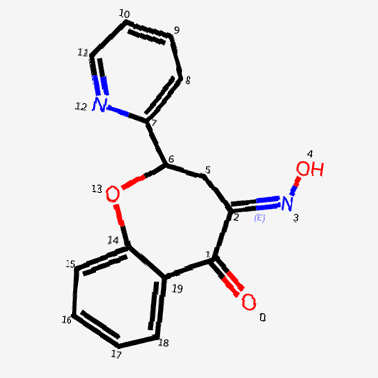 O=C1/C(=N/O)CC(c2ccccn2)Oc2ccccc21